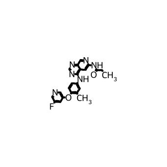 CCC(=O)Nc1cc2c(Nc3ccc(Oc4cncc(F)c4)c(C)c3)ncnc2cn1